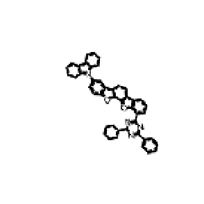 c1ccc(-c2nc(-c3ccccc3)nc(-c3cccc4c3oc3c4ccc4c5cc(-n6c7ccccc7c7ccccc76)ccc5oc43)n2)cc1